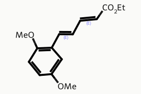 CCOC(=O)/C=C/C=C/c1cc(OC)ccc1OC